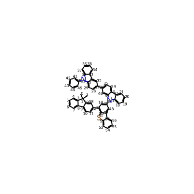 CC1(C)c2ccccc2-c2ccc(-c3cc(-n4c5ccccc5c5ccc(-c6ccc7c(c6)c6ccccc6n7-c6ccccc6)cc54)cc4c3sc3ccccc34)cc21